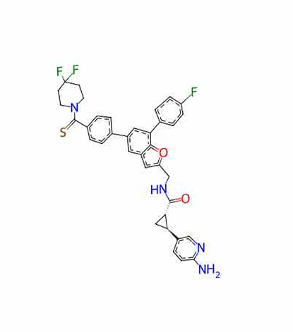 Nc1ccc([C@H]2C[C@@H]2C(=O)NCc2cc3cc(-c4ccc(C(=S)N5CCC(F)(F)CC5)cc4)cc(-c4ccc(F)cc4)c3o2)cn1